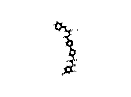 O=C(Nc1ccc(-c2ccc(C(=O)CC(CCc3ccccc3)C(=O)O)cc2)nc1)Nc1ccc(F)cc1F